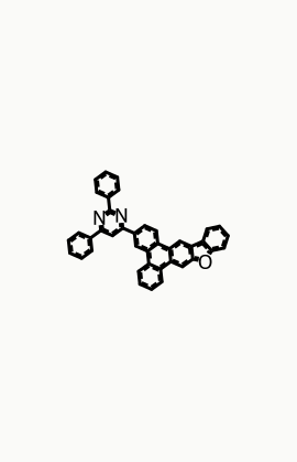 c1ccc(-c2cc(-c3ccc4c(c3)c3ccccc3c3cc5oc6ccccc6c5cc43)nc(-c3ccccc3)n2)cc1